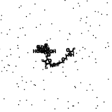 CCC(=O)NCCOCC#C/B=N/[C@@H]1O[C@H](COP(=O)(O)OP(=O)(O)OP(=O)(O)O)C(C)[C@@H]1C